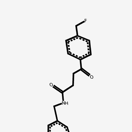 O=C(CCC(=O)c1ccc(CF)cc1)NCc1cccnc1